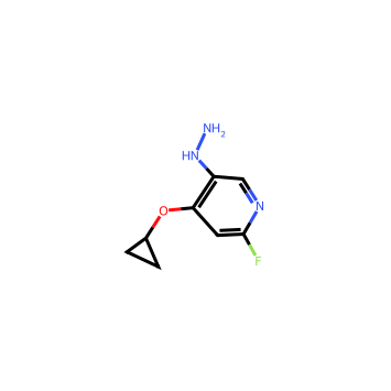 NNc1cnc(F)cc1OC1CC1